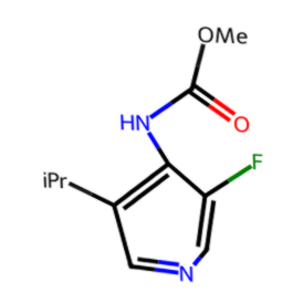 COC(=O)Nc1c(F)cncc1C(C)C